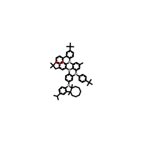 Cc1cc2c3c(c1)N(c1ccc(C(C)(C)C)cc1-c1ccccc1)c1cc4c(cc1B3c1ccc(N3c5ccc(C(C)C)cc5C5(C)CCCCCCC35C)cc1N2c1ccc(C(C)(C)C)cc1)CC(C)(C)C4